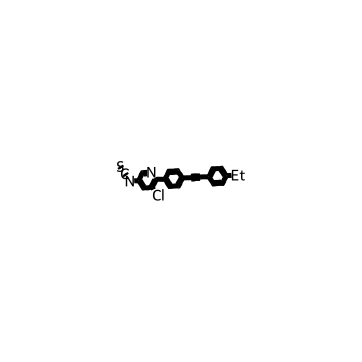 CCc1ccc(C#Cc2ccc(-c3ncc(N=C=S)cc3Cl)cc2)cc1